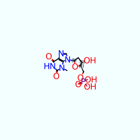 Cn1c(=O)[nH]c(=O)c2ncn([C@H]3C[C@H](O)[C@@H](COP(=O)(O)O)O3)c21